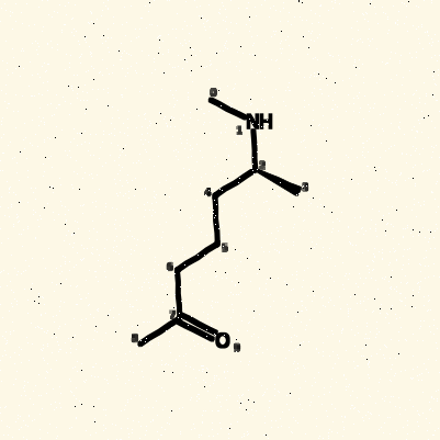 CN[C@@H](C)CCCC(C)=O